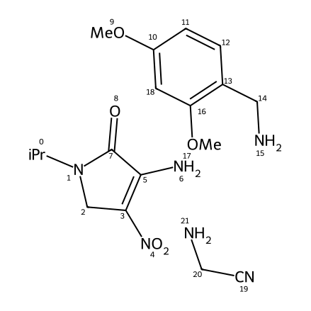 CC(C)N1CC([N+](=O)[O-])=C(N)C1=O.COc1ccc(CN)c(OC)c1.N#CCN